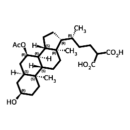 CC(=O)O[C@@H]1C[C@@H]2C[C@H](O)CC[C@]2(C)[C@H]2CC[C@]3(C)[C@@H]([C@H](C)CCC(C(=O)O)C(=O)O)CC[C@H]3[C@H]12